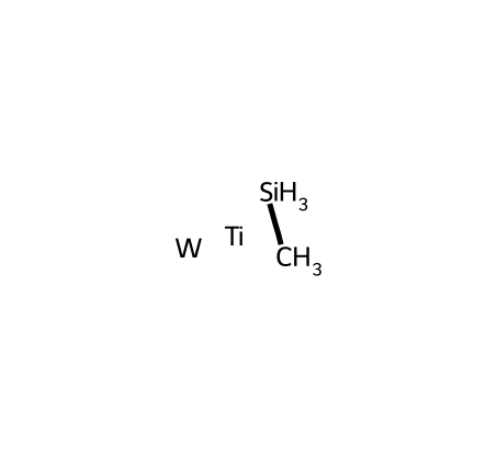 C[SiH3].[Ti].[W]